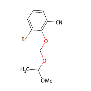 COC(C)OCOc1c(Br)cccc1C#N